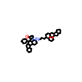 C(=C/c1ccc2c(c1)-c1ccccc1C2)/C(=C\C=C\Nc1ccc2c(c1)C1(c3ccccc3Oc3ccccc31)c1ccc3ccccc3c1-2)c1ccccc1